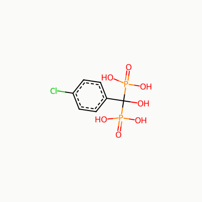 O=P(O)(O)C(O)(c1ccc(Cl)cc1)P(=O)(O)O